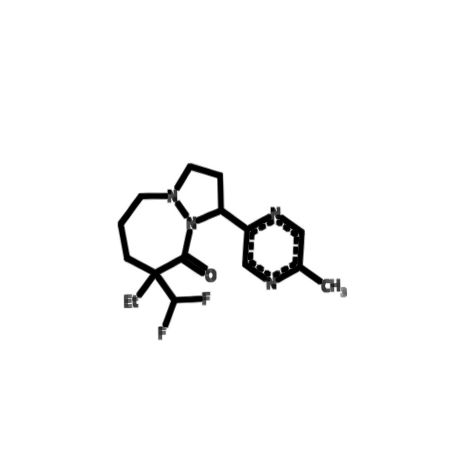 CCC1(C(F)F)CCCN2CCC(c3cnc(C)cn3)N2C1=O